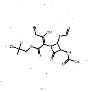 CC(=O)NC1C(=O)N(C(C(=O)OCC(Cl)(Cl)Cl)=C(O)CBr)C1SC=O